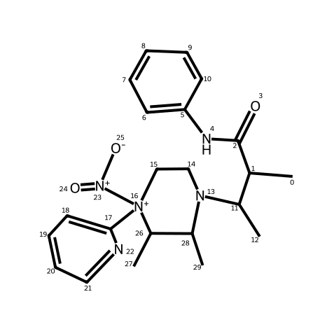 CC(C(=O)Nc1ccccc1)C(C)N1CC[N+](c2ccccn2)([N+](=O)[O-])C(C)C1C